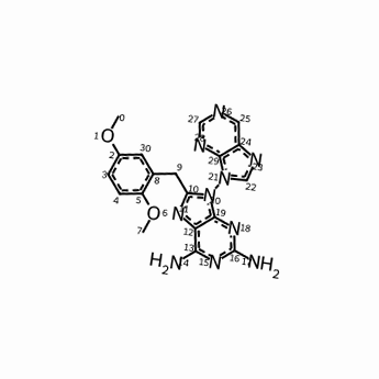 COc1ccc(OC)c(Cc2nc3c(N)nc(N)nc3n2-n2cnc3cncnc32)c1